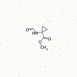 COC(=O)C1(NC=O)CC1